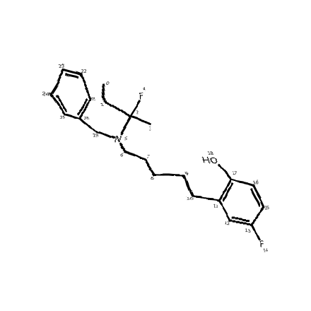 CCC(C)(F)N(CCCCCc1cc(F)ccc1O)Cc1ccccc1